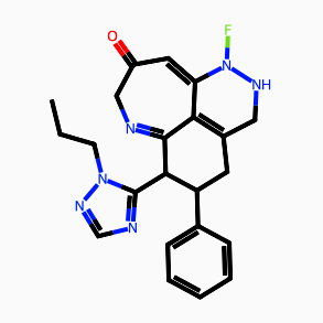 CCCn1ncnc1C1C2=NCC(=O)C=C3C2=C(CNN3F)CC1c1ccccc1